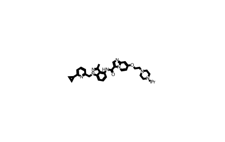 Cc1nn(Cc2cccc(C3CC3)n2)c2cccc(NC(=O)c3cnc4cc(OCCN5CCN(C(C)C)CC5)ccn34)c12